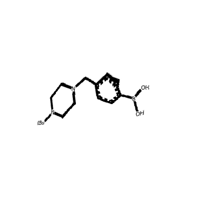 CC(C)(C)N1CCN(Cc2ccc(B(O)O)cc2)CC1